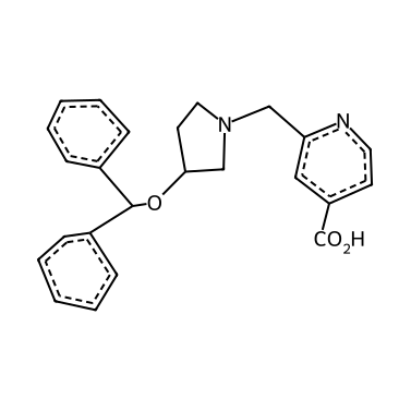 O=C(O)c1ccnc(CN2CCC(OC(c3ccccc3)c3ccccc3)C2)c1